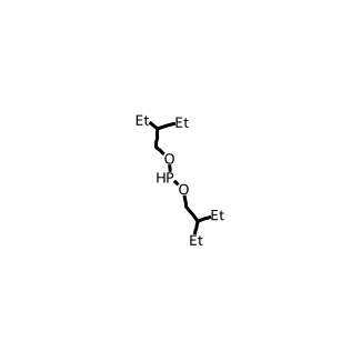 CCC(CC)COPOCC(CC)CC